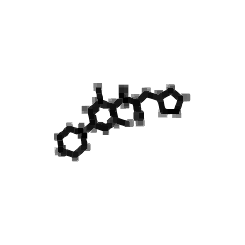 Cc1cc(N2CCSCC2)cc(C)c1NC(=O)CC1CCCC1